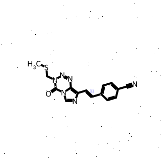 CSCn1nnc2c(/C=C/c3ccc(C#N)cc3)ncn2c1=O